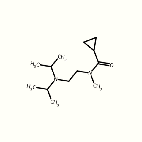 CC(C)N(CCN(C)C(=O)C1CC1)C(C)C